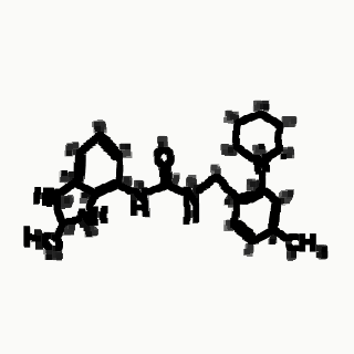 Cc1ccc(CNC(=O)Nc2cccc3c2NC(O)N3)c(N2CCCCC2)c1